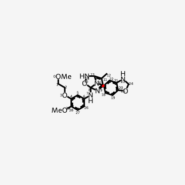 COCCOc1cc(NC23N=CC(C)=C(NO2)N3c2ccc3c(c2)NCO3)ccc1OC